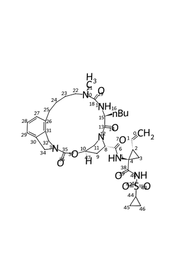 C=C[C@@H]1C[C@]1(NC(=O)[C@@H]1C[C@@H]2CN1C(=O)[C@H](CCCC)NC(=O)N(C)CCCCc1cccc3c1CN(C3)C(=O)O2)C(=O)NS(=O)(=O)C1CC1